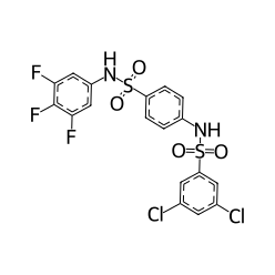 O=S(=O)(Nc1cc(F)c(F)c(F)c1)c1ccc(NS(=O)(=O)c2cc(Cl)cc(Cl)c2)cc1